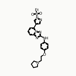 CCS(=O)(=O)n1cc(-c2cccc3nc(Nc4ccc(OCCN5CCCC5)cc4)nn23)cn1